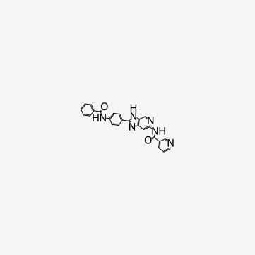 O=C(Nc1ccc(-c2nc3cc(NC(=O)c4cccnc4)ncc3[nH]2)cc1)c1ccccc1